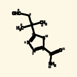 CC(C)(CC=O)c1nnc(C(N)=O)s1